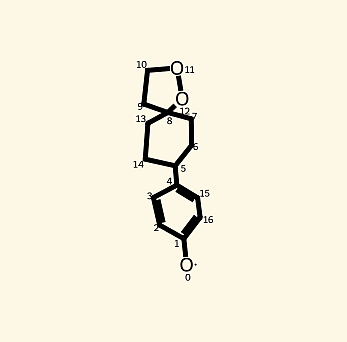 [O]c1ccc(C2CCC3(CCOO3)CC2)cc1